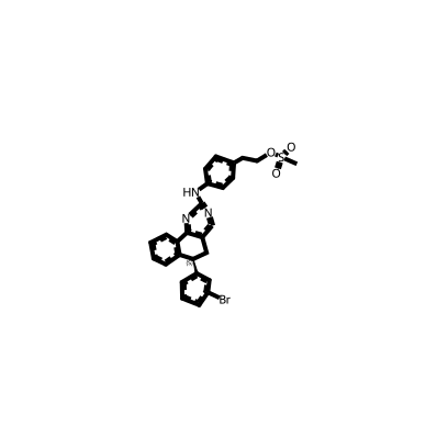 CS(=O)(=O)OCCc1ccc(Nc2ncc3c(n2)-c2ccccc2[C@H](c2cccc(Br)c2)C3)cc1